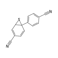 N#CC1=CC2SC2(c2ccc(C#N)cc2)C=C1